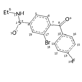 CCN[S+]([O-])c1ccc(C(=O)c2ccc(F)cc2)c(Br)c1